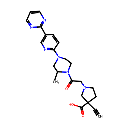 C#CC1(C(=O)O)CCN(CC(=O)N2CCN(c3ccc(-c4ncccn4)cn3)CC2C)C1